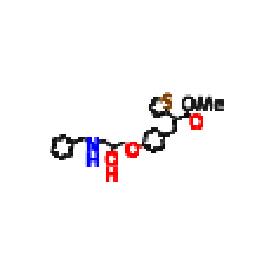 COC(=O)/C(=C/c1ccc(OCC(O)CNCc2ccccc2)cc1)c1cccs1